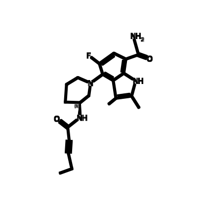 CCC#CC(=O)N[C@H]1CCCN(c2c(F)cc(C(N)=O)c3[nH]c(C)c(C)c23)C1